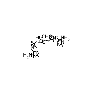 Cc1ncc(C[n+]2csc(CCOOCCc3sc[n+](Cc4cnc(C)nc4N)c3C)c2C)c(N)n1.O=CO